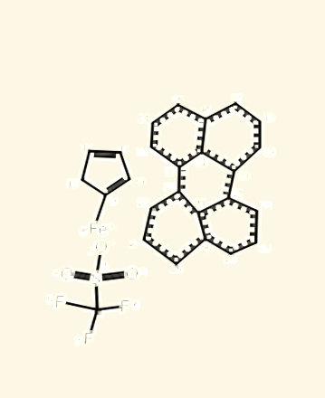 O=S(=O)([O-])C(F)(F)F.[Fe+][C]1=CC=CC1.c1cc2cccc3c4cccc5cccc(c(c1)c23)c54